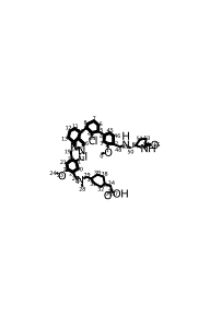 COc1cc(-c2cccc(-c3cccc4c3cnn4Cc3cc(OC)c(CN(C)CC4CCC(CC(=O)O)CC4)cc3Cl)c2Cl)ccc1CNC[C@@H]1CCC(=O)N1